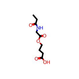 CCC(=O)NCC(=O)OCCCC(=O)O